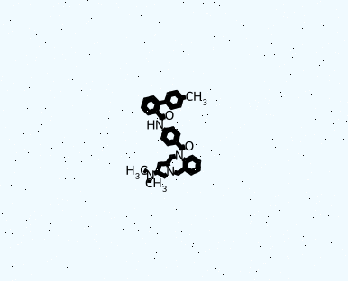 Cc1ccc(-c2ccccc2C(=O)Nc2ccc(C(=O)N3CC4CC(N(C)C)CN4Cc4ccccc43)cc2)cc1